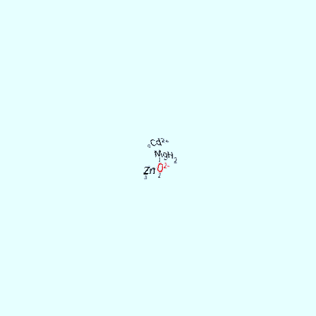 [Cd+2].[MgH2].[O-2].[Zn]